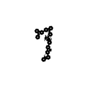 CC1(C)c2cc(-c3ccc4oc5c(-c6cccc(-n7c8ccccc8c8ccc(-c9ccc%10c(c9)c9ccccc9n%10-c9ccccc9)cc87)c6)ncnc5c4c3)ccc2-c2ccc(-c3cccc4c3sc3ccccc34)cc21